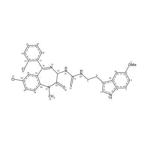 COc1ccc2[nH]cc(CCNC(=S)NC3N=C(c4ccccc4Cl)c4cc(Cl)ccc4N(C)C3=O)c2c1